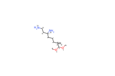 COC(OC)[SiH2]CCCC(N)CCN